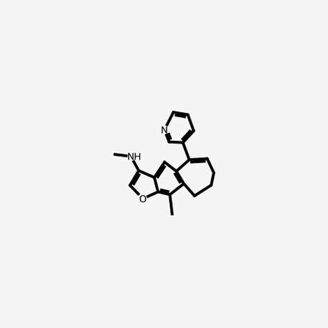 CNc1coc2c(C)c3c(cc12)C(c1cccnc1)=CCCC3